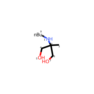 CCCCNC(C)(CO)CO